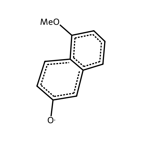 COc1cccc2cc([O])ccc12